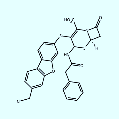 O=C(Cc1ccccc1)NC1S[C@@H]2CC(=O)N2C(C(=O)O)=C1Sc1ccc2c(c1)oc1cc(CCl)ccc12